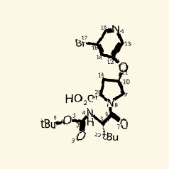 CC(C)(C)OC(=O)N[C@H](C(=O)N1C[C@H](Oc2cncc(Br)c2)C[C@H]1C(=O)O)C(C)(C)C